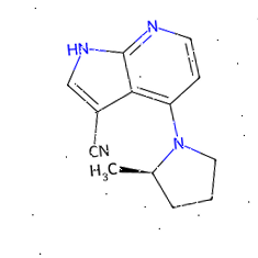 C[C@@H]1CCCN1c1ccnc2[nH]cc(C#N)c12